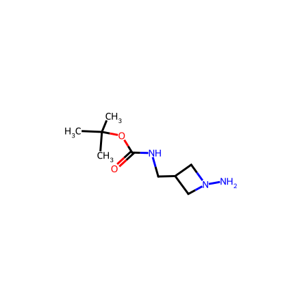 CC(C)(C)OC(=O)NCC1CN(N)C1